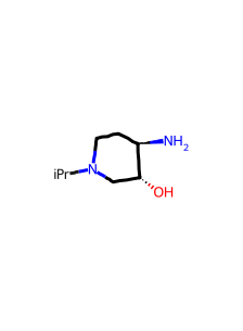 CC(C)N1CC[C@@H](N)[C@H](O)C1